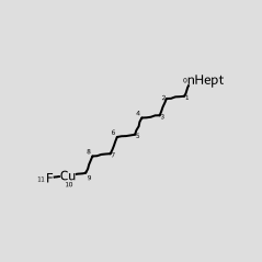 CCCCCCCCCCCCCCC[CH2][Cu][F]